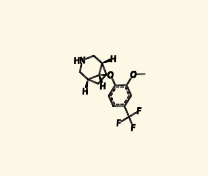 COc1cc(C(F)(F)F)ccc1O[C@@H]1[C@@H]2CC[C@H]1CNC2